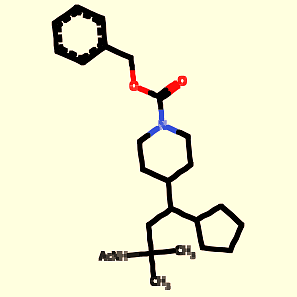 CC(=O)NC(C)(C)CC(C1CCCC1)C1CCN(C(=O)OCc2ccccc2)CC1